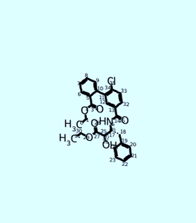 CCOC(=O)c1ccccc1-c1cc(C(=O)N[C@H](Cc2ccccc2)[C@@H](O)C(=O)OCC)ccc1Cl